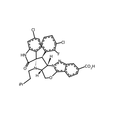 CC(C)CCN1[C@H]2COc3c4ccc(C(=O)O)cc4nn3[C@H]2[C@H](c2cccc(Cl)c2F)[C@]12C(=O)Nc1cc(Cl)ccc12